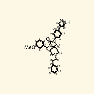 COc1cccc(CN2C(=O)N(c3ccc(-c4cn[nH]c4)cc3)CC23CCN(CCc2ccccc2)CC3)c1